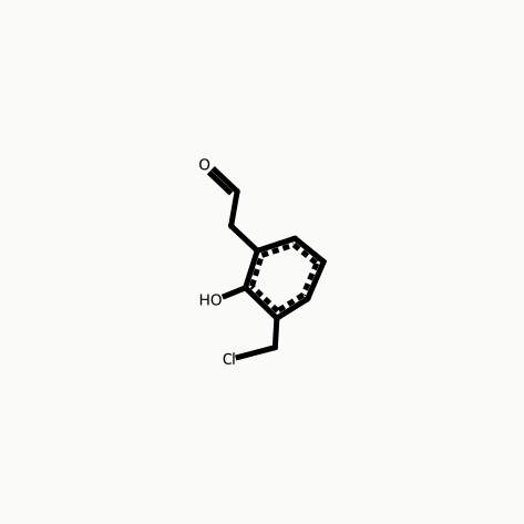 O=CCc1cccc(CCl)c1O